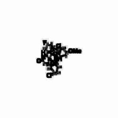 COc1ccc(Oc2ccc(F)cc2[C@H]2NC(=O)C[C@@H](c3cc(Cl)ccc3F)[C@]23C(=O)Nc2cc(Cl)ccc23)cc1